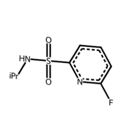 CC(C)NS(=O)(=O)c1cccc(F)n1